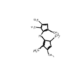 CC1=CC(C)[C]([Hf][C]2=C(C)C=C(C)C2C)=C1C